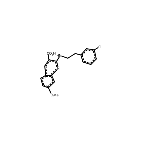 COc1ccc2cc(C(=O)O)c(NCCc3cccc(Cl)c3)nc2c1